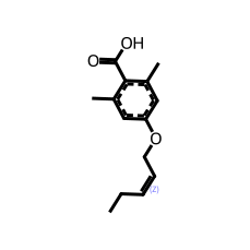 CC/C=C\COc1cc(C)c(C(=O)O)c(C)c1